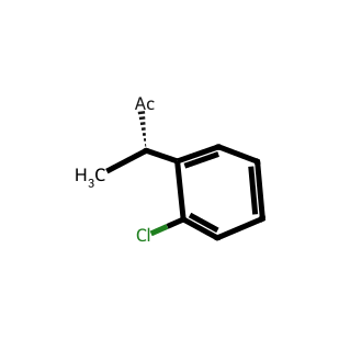 CC(=O)[C@@H](C)c1ccccc1Cl